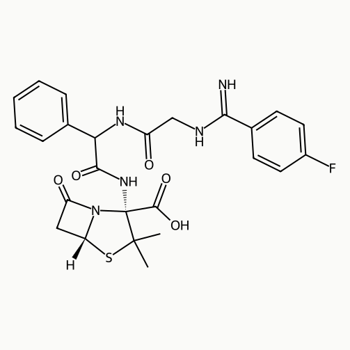 CC1(C)S[C@@H]2CC(=O)N2[C@@]1(NC(=O)C(NC(=O)CNC(=N)c1ccc(F)cc1)c1ccccc1)C(=O)O